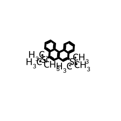 C[Si](C)(C)c1cc2cc([Si](C)(C)C)c3ccccc3c2c2ccccc12